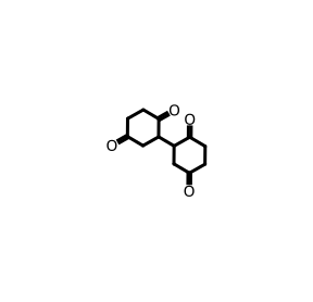 O=C1CCC(=O)C(C2CC(=O)CCC2=O)C1